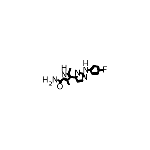 Cc1[nH]c(C(N)=O)c(C)c1-c1ccnc(Nc2ccc(F)cc2)n1